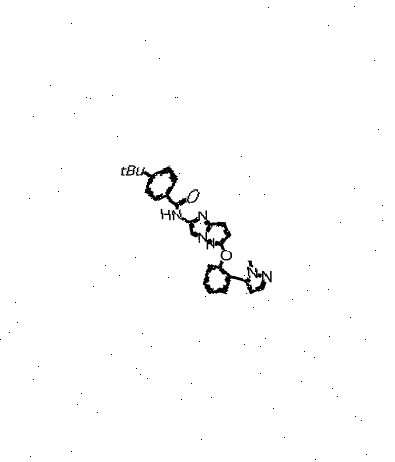 Cn1nccc1-c1ccccc1Oc1ccc2nc(NC(=O)c3ccc(C(C)(C)C)cc3)cn2n1